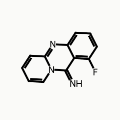 N=c1c2c(F)cccc2nc2ccccn12